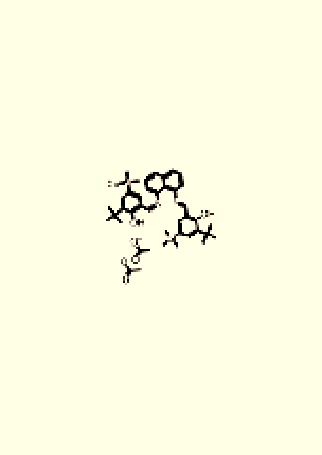 CC(=O)[O-].CC(=O)[O-].CC(C)(C)c1cc([Si](C)(C)C)cc(C=Nc2cccc3cccc(N=Cc4cc([Si](C)(C)C)cc(C(C)(C)C)c4O)c23)c1O.[Co+2]